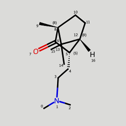 CN(C)CC[C@@H]1C(=O)[C@]2(C)CC[C@H]1C2(C)C